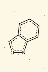 [c]1ccc2nocc2c1